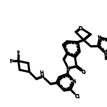 Cn1cnnc1CC1(c2ccc3c(c2)C(=O)N(c2cc(CNCC4CC(F)(F)C4)cc(Cl)n2)C3)COC1